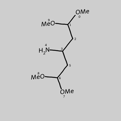 COC(CC(N)CC(OC)OC)OC